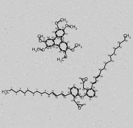 CCCCCCCCCCCC=CC=Cc1cccc(Oc2cccc(C=CC=CCCCCCCCCCCC)c2CC2CO2)c1CC1CO1.COc1cc2c3cc(OC)c(OC)cc3c3cc(OC)c(OC)cc3c2cc1OC